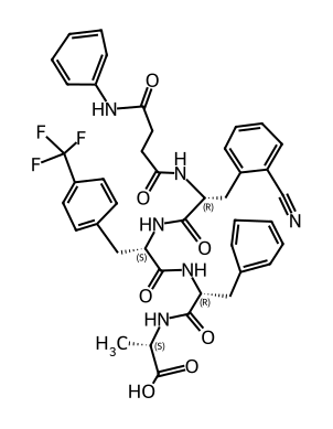 C[C@H](NC(=O)[C@@H](Cc1ccccc1)NC(=O)[C@H](Cc1ccc(C(F)(F)F)cc1)NC(=O)[C@@H](Cc1ccccc1C#N)NC(=O)CCC(=O)Nc1ccccc1)C(=O)O